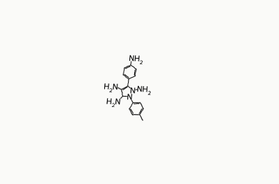 Cc1ccc(N2C(N)C(N)=C(c3ccc(N)cc3)N2N)cc1